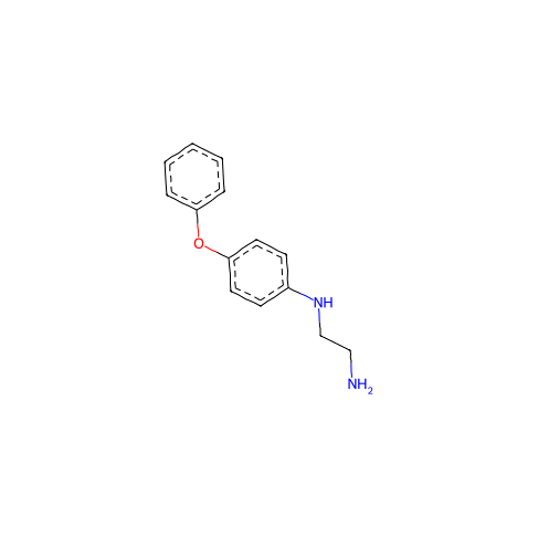 NCCNc1ccc(Oc2ccccc2)cc1